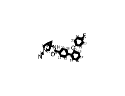 N#CN1CC2C[C@]2(NC(=O)c2ccc(-c3ccccc3Oc3ccc(F)cc3)cc2)C1